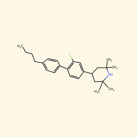 CCCCc1ccc(-c2ccc(C3CC(C)(C)NC(C)(C)C3)cc2F)cc1